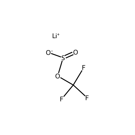 O=S([O-])OC(F)(F)F.[Li+]